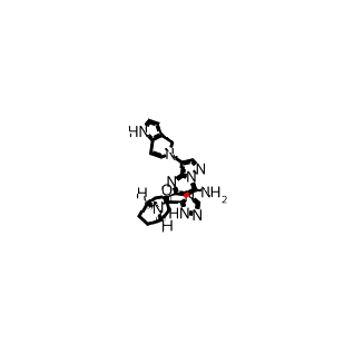 Nc1cc([C@H]2C[C@H]3CC[C@@H](C2)N3C(=O)c2ncn[nH]2)nc2c(N3C=Cc4[nH]ccc4C3)cnn12